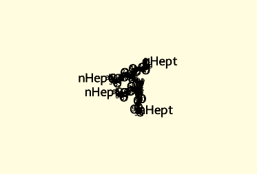 CCCCCCCSC(C)C(=O)OCCOC(=O)CCN(CCCN(C)CCCN(CCC(=O)OCCOC(=O)C(C)SCCCCCCC)CCC(=O)OCCOC(=O)C(C)SCCCCCCC)CCC(=O)OCCOC(=O)C(C)SCCCCCCC